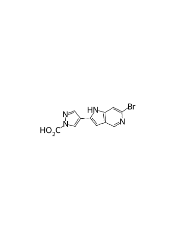 O=C(O)n1cc(-c2cc3cnc(Br)cc3[nH]2)cn1